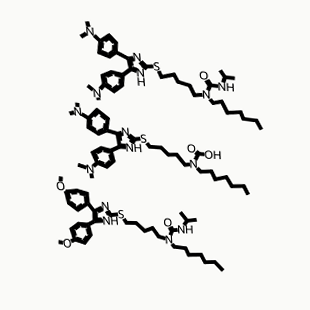 CCCCCCCN(CCCCCSc1nc(-c2ccc(N(C)C)cc2)c(-c2ccc(N(C)C)cc2)[nH]1)C(=O)NC(C)C.CCCCCCCN(CCCCCSc1nc(-c2ccc(N(C)C)cc2)c(-c2ccc(N(C)C)cc2)[nH]1)C(=O)O.CCCCCCCN(CCCCCSc1nc(-c2ccc(OC)cc2)c(-c2ccc(OC)cc2)[nH]1)C(=O)NC(C)C